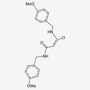 COc1ccc(CNC(=O)/C=C(/Cl)NCc2ccc(OC)cc2)cc1